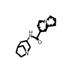 O=C(N[C@@H]1CC2CCN(C2)C1)c1ccn2cccc2c1